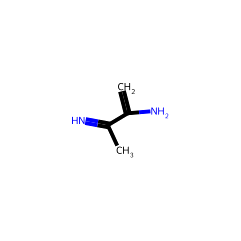 C=C(N)C(C)=N